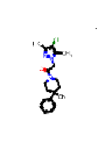 Cc1c(Cl)c(C(F)(F)F)nn1CC(=O)N1CCC(C#N)(c2ccccc2)CC1